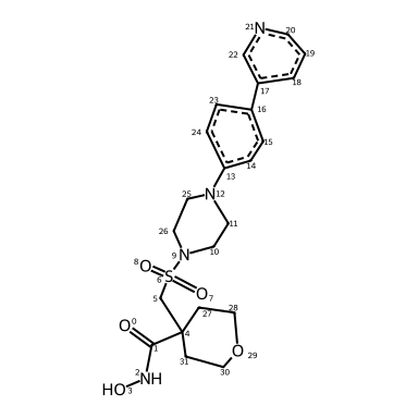 O=C(NO)C1(CS(=O)(=O)N2CCN(c3ccc(-c4cccnc4)cc3)CC2)CCOCC1